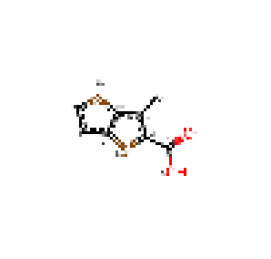 Cc1c(C(=O)O)sc2ccsc12